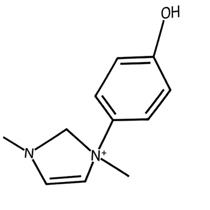 CN1C=C[N+](C)(c2ccc(O)cc2)C1